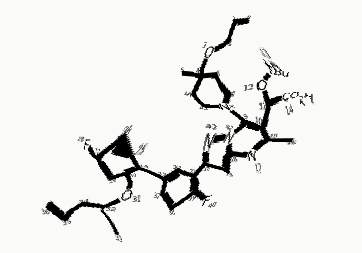 C=CCOC1(C)CCN(c2c(C(OC(C)(C)C)C(=O)O)c(C)nc3cc(-c4cc(-c5ccc(F)cc5O[C@@H](C)CC=C)ccc4F)nn23)CC1